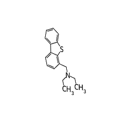 CCN(CC)Cc1cccc2c1sc1ccccc12